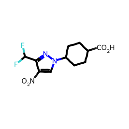 O=C(O)C1CCC(n2cc([N+](=O)[O-])c(C(F)F)n2)CC1